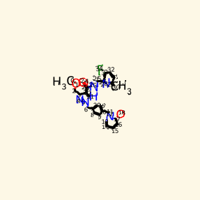 COCc1nn(Cc2ccc(Cn3ccccc3=O)cc2)cc1C(=O)NCc1nc(C)ccc1F